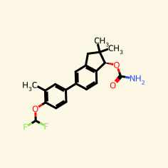 Cc1cc(-c2ccc3c(c2)CC(C)(C)[C@H]3OC(N)=O)ccc1OC(F)F